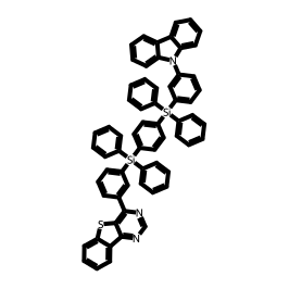 c1ccc([Si](c2ccccc2)(c2ccc([Si](c3ccccc3)(c3ccccc3)c3cccc(-n4c5ccccc5c5ccccc54)c3)cc2)c2cccc(-c3ncnc4c3sc3ccccc34)c2)cc1